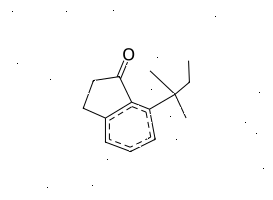 CCC(C)(C)c1cccc2c1C(=O)CC2